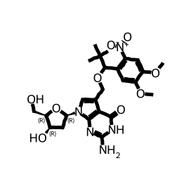 COc1cc(C(OCc2cn([C@H]3C[C@@H](O)[C@@H](CO)O3)c3nc(N)[nH]c(=O)c23)C(C)(C)C)c([N+](=O)[O-])cc1OC